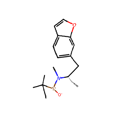 C[C@@H](Cc1ccc2ccoc2c1)N(C)[S+]([O-])C(C)(C)C